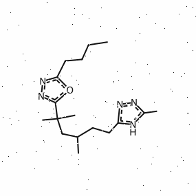 CCCCc1nnc(C(C)(C)CC(C)CCc2nnc(C)[nH]2)o1